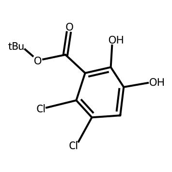 CC(C)(C)OC(=O)c1c(O)c(O)cc(Cl)c1Cl